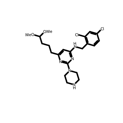 COC(CCCc1cc(NCc2ccc(Cl)cc2Cl)nc(N2CCNCC2)n1)OC